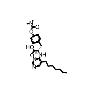 CCCCCCCc1cncnc1N[C@@H](Cc1ccc(OC(=O)N(C)C)cc1)C(=O)O